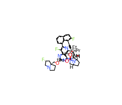 CC[C@@H]1C[C@@H]2[C@@H]3CC[C@H](CN2c2nc(OC[C@@]45CCCN4C[C@H](F)C5)nc4c(F)c(-c5cccc6ccc(F)c(C#C[Si](C(C)C)(C(C)C)C(C)C)c56)nc1c24)N3C(=O)OC(C)(C)C